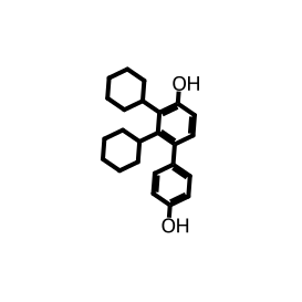 Oc1ccc(-c2ccc(O)c(C3CCCCC3)c2C2CCCCC2)cc1